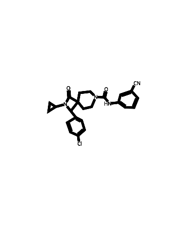 N#Cc1cccc(NC(=O)N2CCC3(CC2)C(=O)N(C2CC2)C3c2ccc(Cl)cc2)c1